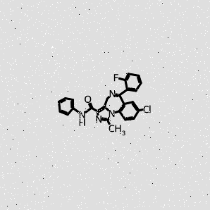 Cc1nc(C(=O)Nc2ccccc2)c2n1-c1ccc(Cl)cc1C(c1ccccc1F)=NC2